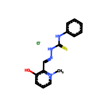 C[n+]1cccc(O)c1C=NNC(=S)Nc1ccccc1.[Cl-]